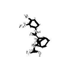 O=C1C2CCC1C(C(=O)Nc1ccc(F)c(C(F)(F)F)c1)C2NC(=O)C(F)(F)F